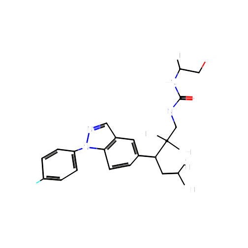 CC(C)CC(c1ccc2c(cnn2-c2ccc(F)cc2)c1)C(C)(C)CNC(=O)NC(C)CO